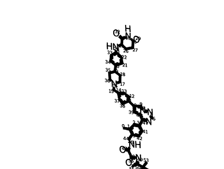 Cc1cc(-c2ncnn3cc(-c4ccc(CN5CCC(c6ccc(NC7CCC(=O)NC7=O)cc6)CC5)cc4)cc23)ccc1CNC(=O)c1nc(C(C)(C)C)co1